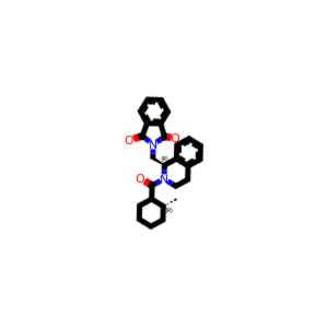 C[C@@H]1CCCCC1C(=O)N1CCc2ccccc2[C@@H]1CN1C(=O)c2ccccc2C1=O